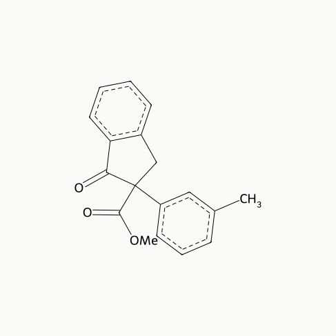 COC(=O)C1(c2cccc(C)c2)Cc2ccccc2C1=O